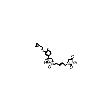 CC(C)(NS(=O)(=O)CC/C=C/CN1CC(=O)NC1=O)c1ccc(F)c(OCC2CC2)c1